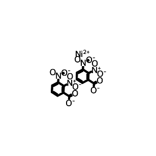 O=C([O-])c1cccc([N+](=O)[O-])c1[N+](=O)[O-].O=C([O-])c1cccc([N+](=O)[O-])c1[N+](=O)[O-].[Ni+2]